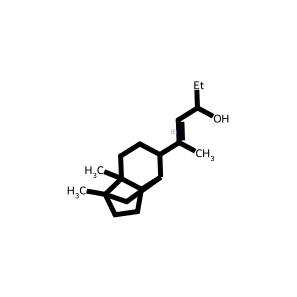 CCC(O)/C=C(\C)C1CCC2(C)C3CCC2(C)CC13